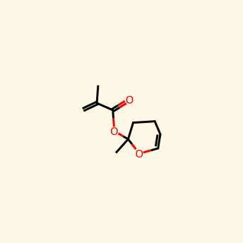 C=C(C)C(=O)OC1(C)CCC=CO1